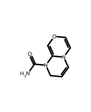 NC(=O)N1CC=CN2C=COC=C21